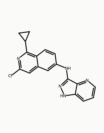 Clc1cc2cc(Nc3n[nH]c4cccnc34)ccc2c(C2CC2)n1